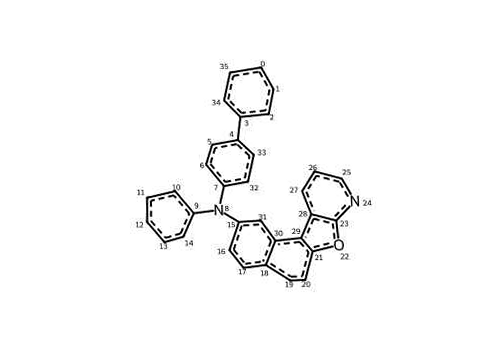 c1ccc(-c2ccc(N(c3ccccc3)c3ccc4ccc5oc6ncccc6c5c4c3)cc2)cc1